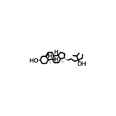 CCC(O)(CCC[C@H]1CC[C@H]2[C@@H]3CC=C4C[C@@H](O)CC[C@]4(C)[C@H]3CC[C@]12C)C(C)C